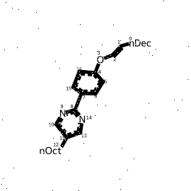 CCCCCCCCCCC=COc1ccc(-c2ncc(CCCCCCCC)cn2)cc1